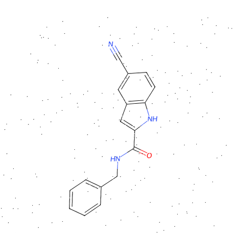 N#Cc1ccc2[nH]c(C(=O)NCc3ccccc3)cc2c1